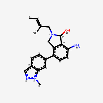 C/C=C(\C#N)CN1Cc2c(-c3ccc4cnn(C)c4c3)ccc(N)c2C1O